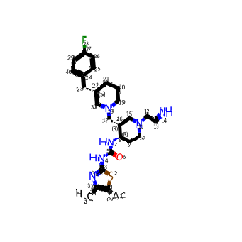 CC(=O)c1sc(NC(=O)N[C@@H]2CCN(CC=N)C[C@H]2CN2CCC[C@@H](Cc3ccc(F)cc3)C2)nc1C